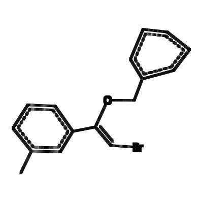 Cc1cccc(C(=CBr)OCc2ccccc2)c1